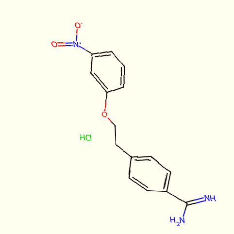 Cl.N=C(N)c1ccc(CCOc2cccc([N+](=O)[O-])c2)cc1